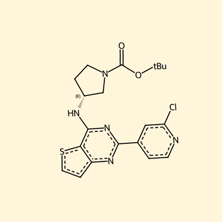 CC(C)(C)OC(=O)N1CC[C@@H](Nc2nc(-c3ccnc(Cl)c3)nc3ccsc23)C1